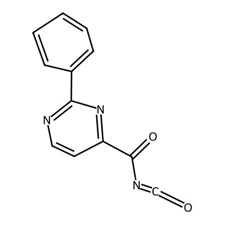 O=C=NC(=O)c1ccnc(-c2ccccc2)n1